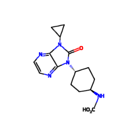 O=C(O)N[C@H]1CC[C@H](n2c(=O)n(C3CC3)c3nccnc32)CC1